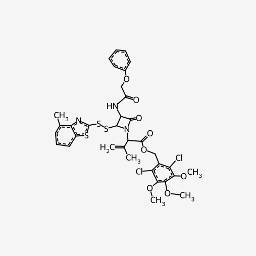 C=C(C)C(C(=O)OCc1c(Cl)c(OC)c(OC)c(OC)c1Cl)N1C(=O)C(NC(=O)COc2ccccc2)C1SSc1nc2c(C)cccc2s1